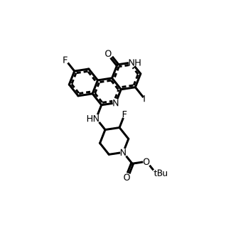 CC(C)(C)OC(=O)N1CCC(Nc2nc3c(I)c[nH]c(=O)c3c3cc(F)ccc23)C(F)C1